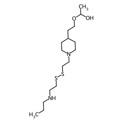 CCCNCCSSCCN1CCC(CCOC(C)O)CC1